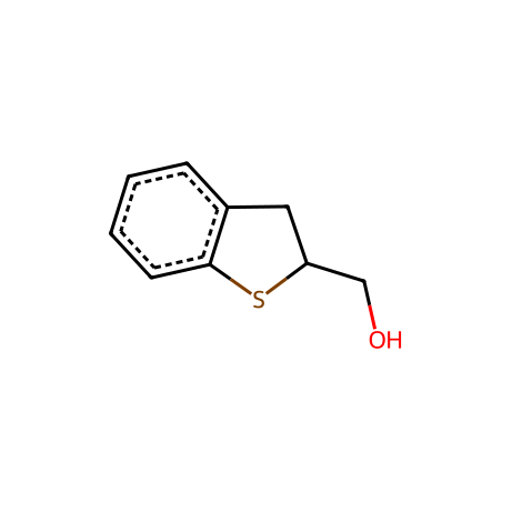 OCC1Cc2ccccc2S1